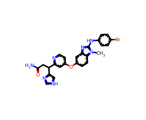 Cn1c(Nc2ccc(Br)cc2)nc2cc(Oc3ccnc(C(CC(N)=O)c4c[nH]cn4)c3)ccc21